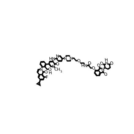 Cn1cc(-c2cccc(-n3ccc4cc(C5CC5)cc(F)c4c3=O)c2CO)cc(Nc2ccc(N3CCN(CCOCCNC(=O)COc4cccc5c4C(=O)N(C4CCC(=O)NC4=O)C5=O)CC3)cn2)c1=O